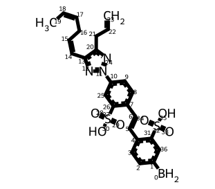 Bc1ccc(/C=C/c2ccc(-n3nc(/C=C\C/C=C\C)c(CC=C)n3)cc2S(=O)(=O)O)c(S(=O)(=O)O)c1